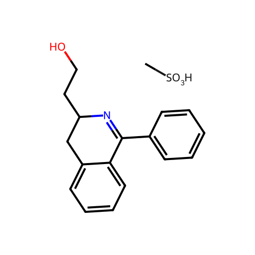 CS(=O)(=O)O.OCCC1Cc2ccccc2C(c2ccccc2)=N1